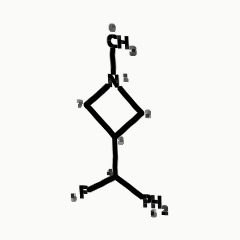 CN1CC(C(F)P)C1